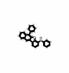 c1ccc(Nc2cccc3c2oc2c(-c4ccccc4)c4ccccc4cc23)cc1